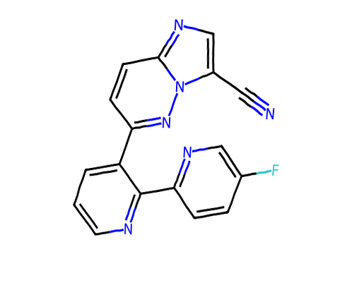 N#Cc1cnc2ccc(-c3cccnc3-c3ccc(F)cn3)nn12